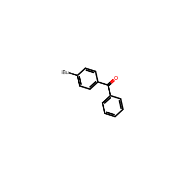 CCC(C)c1ccc(C(=O)c2ccccc2)cc1